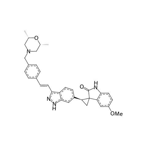 COc1ccc2c(c1)C1(C[C@H]1c1ccc3c(/C=C/c4ccc(CN5C[C@@H](C)O[C@@H](C)C5)cc4)n[nH]c3c1)C(=O)N2